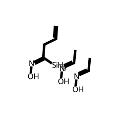 C=CCC([SiH3])=NO.CC=NO.CC=NO